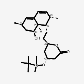 C[C@H]1C=C2C=C[C@H](C)[C@H](CC[C@@H]3C[C@@H](O[Si](C)(C)C(C)(C)C)CC(=O)O3)[C@H]2[C@@H](O)C1